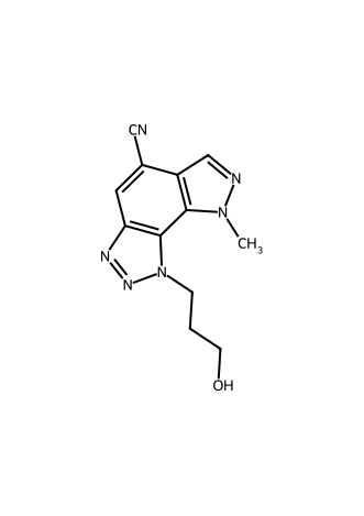 Cn1ncc2c(C#N)cc3nnn(CCCO)c3c21